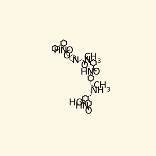 CC(Cc1ccc(NC(=O)c2cccc(N(C)C(=O)CCN3CCC(OC(=O)Nc4ccccc4-c4ccccc4)CC3)c2)cc1)NCCc1ccc(O)c2[nH]c(=O)ccc12